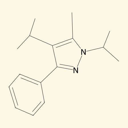 Cc1c(C(C)C)c(-c2ccccc2)nn1C(C)C